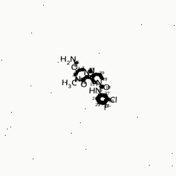 CN1CC(OCN)Cn2nc3c(c2C1=O)CN(C(=O)Nc1ccc(F)c(Cl)c1)CC3